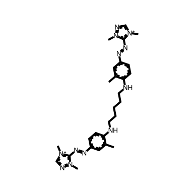 Cc1cc(N=Nc2n(C)nc[n+]2C)ccc1NCCCCCNc1ccc(N=Nc2n(C)nc[n+]2C)cc1C